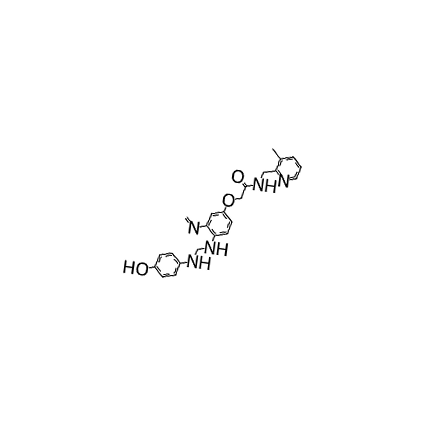 C=Nc1cc(OCC(=O)NCc2ncccc2C)ccc1NCNc1ccc(O)cc1